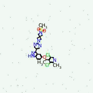 CCS(=O)(=O)N1CC2(CN(c3ncc(-c4n[nH]c5ccc(OC(C)c6c(Cl)cnc(C)c6Cl)cc45)cn3)C2)C1